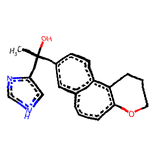 CC(O)(c1ccc2c3c(ccc2c1)OCCC3)c1c[nH]cn1